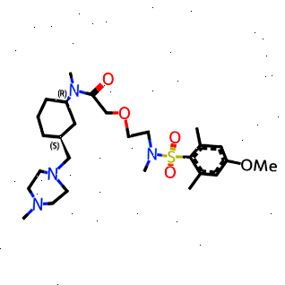 COc1cc(C)c(S(=O)(=O)N(C)CCOCC(=O)N(C)[C@@H]2CCC[C@H](CN3CCN(C)CC3)C2)c(C)c1